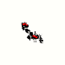 O=C(NS(=O)(=O)c1ccc(NCC2CCOCC2)c([N+](=O)[O-])c1)c1ccc(N2CCC3(CC2)CC(N2CCC[C@H]2c2ccccc2C(O)(C(F)(F)F)C(F)(F)F)C3)cc1N1c2cc3cc[nH]c3nc2O[C@@H]2COC[C@H]21